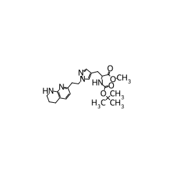 COC(=O)C(Cc1cnn(CCc2ccc3c(n2)NCCC3)c1)NC(=O)OC(C)(C)C